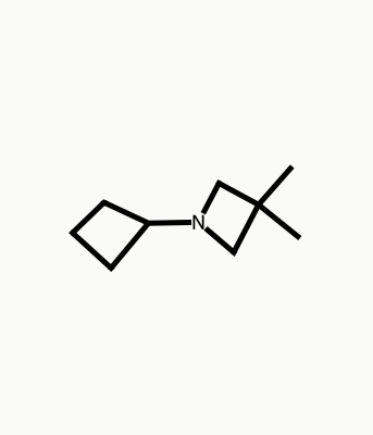 CC1(C)CN(C2CCC2)C1